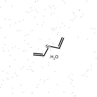 C=[CH][Sn][CH]=C.O